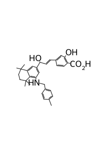 Cc1ccc(CNc2cc(C(O)C=Cc3ccc(C(=O)O)c(O)c3)cc3c2C(C)(C)CCC3(C)C)cc1